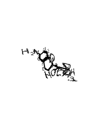 C[C@](O)(C[C@H]1CCc2cc(N)ccc2O1)C(=O)O